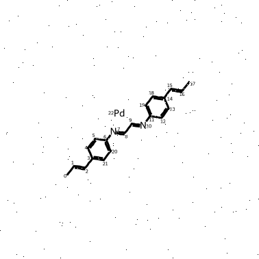 CC=Cc1ccc(N=CC=Nc2ccc(C=CC)cc2)cc1.[Pd]